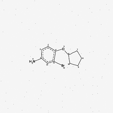 Nc1ccc(OC2CCCC2)c(Br)c1